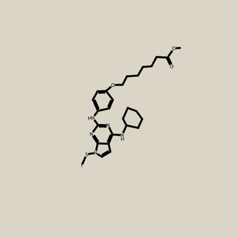 COC(=O)CCCCCCOc1ccc(Nc2nc(NC3CCCCC3)c3ccn(SI)c3n2)cc1